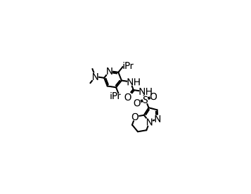 CC(C)c1cc(N(C)C)nc(C(C)C)c1NC(=O)NS(=O)(=O)c1cnn2c1OCCC2